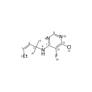 CC/C=C\C(C)(C)Nc1ncnc(Cl)c1F